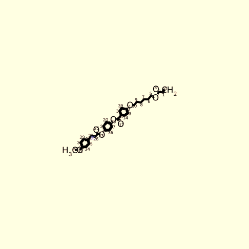 C=CC(=O)OCCCCCCOc1ccc(C(=O)Oc2ccc(OC(=O)/C=C/c3ccc(OC)cc3)cc2)cc1